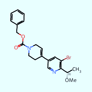 CO[C@@H](C)c1ncc(C2=CCN(C(=O)OCc3ccccc3)CC2)cc1Br